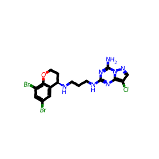 Nc1nc(NCCCN[C@@H]2CCOc3c(Br)cc(Br)cc32)nc2c(Cl)cnn12